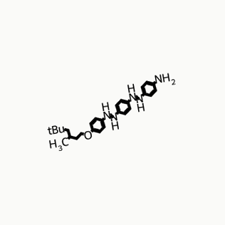 CC(CCOc1ccc(NNc2ccc(NNc3ccc(N)cc3)cc2)cc1)CC(C)(C)C